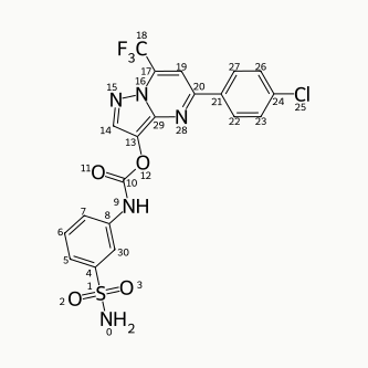 NS(=O)(=O)c1cccc(NC(=O)Oc2cnn3c(C(F)(F)F)cc(-c4ccc(Cl)cc4)nc23)c1